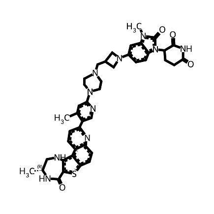 Cc1cc(N2CCN(CC3CN(c4ccc5c(c4)n(C)c(=O)n5C4CCC(=O)NC4=O)C3)CC2)ncc1-c1ccc2c(ccc3sc4c(c32)NC[C@@H](C)NC4=O)n1